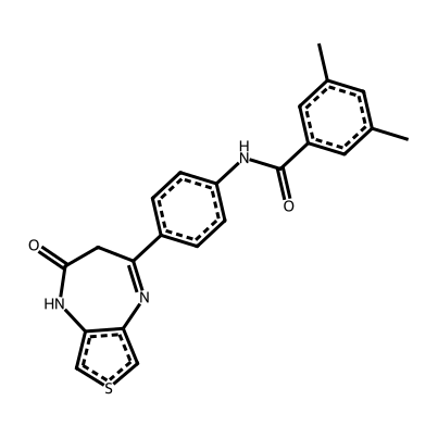 Cc1cc(C)cc(C(=O)Nc2ccc(C3=Nc4cscc4NC(=O)C3)cc2)c1